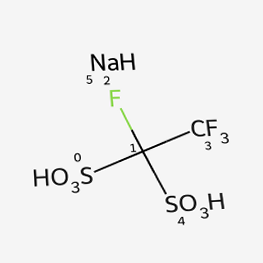 O=S(=O)(O)C(F)(C(F)(F)F)S(=O)(=O)O.[NaH]